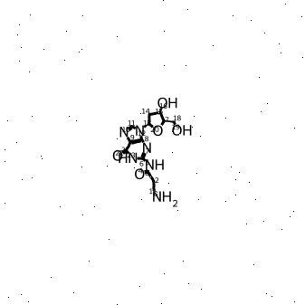 NCCC(=O)Nc1nc2c(ncn2[C@H]2C[C@@H](O)[C@@H](CO)O2)c(=O)[nH]1